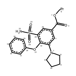 CC(C)OC(=O)c1cc(N2CCCC2)c(Oc2ccccc2)c(S(N)(=O)=O)c1